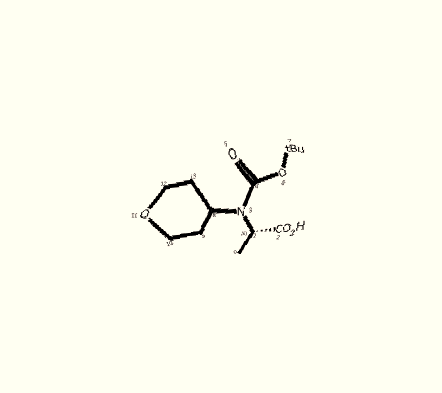 C[C@@H](C(=O)O)N(C(=O)OC(C)(C)C)C1CCOCC1